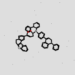 C1=CCC(c2ccccc2)C(N(c2ccc(C3=CCC(c4ccccc4)c4ccccc43)cc2)C2C=CC(c3ccc4c(c3)-c3c(oc5ccccc35)CC4)=CC2)=C1